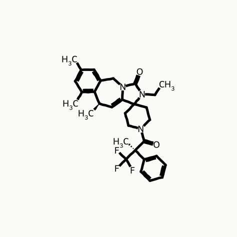 CCN1C(=O)N2Cc3cc(C)cc(C)c3[C@H](C)C=C2C12CCN(C(=O)[C@@](C)(c1ccccc1)C(F)(F)F)CC2